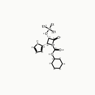 CC[Si](CC)(CC)O[C@@H]1C(=O)N(C(=O)OC2CCCCC2)[C@@H]1c1cccs1